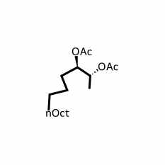 CCCCCCCCCCC[C@@H](OC(C)=O)[C@@H](C)OC(C)=O